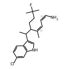 C/C(=C/C=C\N)C(CCC(C)(C)F)C(C)c1c[nH]c2cc(Cl)ccc12